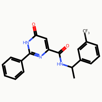 CC(NC(=O)c1cc(=O)[nH]c(-c2ccccc2)n1)c1cccc(C(F)(F)F)c1